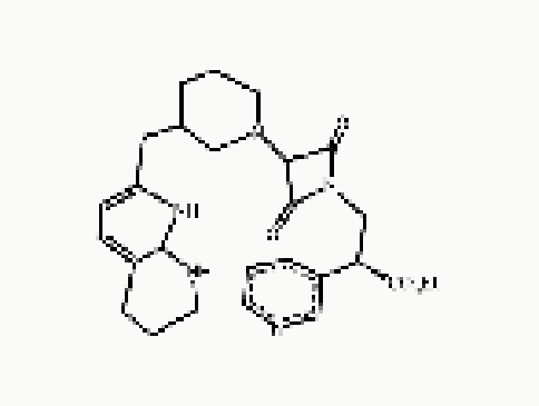 CCOC(=O)[C@H](CN1C(=O)C(N2CCCC(CC3=CC=C4CCCNC4N3)C2)C1=O)c1cccnc1